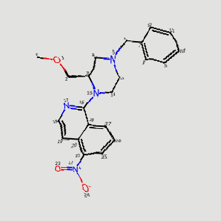 COC[C@H]1CN(Cc2ccccc2)CCN1c1nccc2c([N+](=O)[O-])cccc12